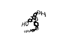 CCCN1CC(Oc2ccc([C@@H]3Oc4cc(O)ccc4C(C)=C3c3ccc(O)cc3)cc2)C1